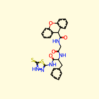 O=C(CNC(=O)C1c2ccccc2Oc2ccccc21)NC(Cc1ccccc1)C(=O)Nc1n[nH]c(=S)s1